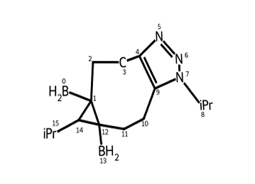 BC12CCc3nnn(C(C)C)c3CCC1(B)C2C(C)C